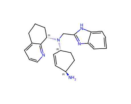 N[C@H]1C=C[C@H](N(Cc2nc3ccccc3[nH]2)[C@H]2CCCc3cccnc32)CC1